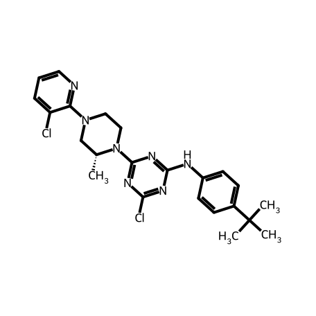 C[C@@H]1CN(c2ncccc2Cl)CCN1c1nc(Cl)nc(Nc2ccc(C(C)(C)C)cc2)n1